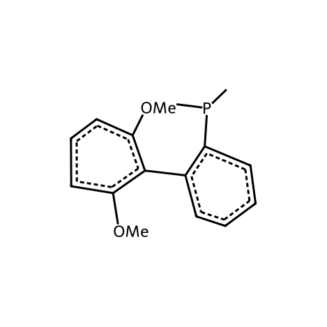 COc1cccc(OC)c1-c1ccccc1P(C)C